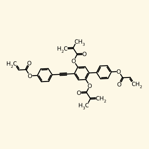 C=CC(=O)Oc1ccc(C#Cc2cc(OC(=O)C(=C)C)c(-c3ccc(OC(=O)C=C)cc3)cc2OC(=O)C(=C)C)cc1